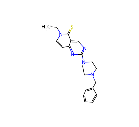 CCn1ccc2nc(N3CCN(Cc4ccccc4)CC3)ncc2c1=S